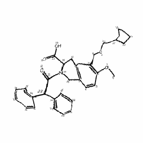 COc1ccc2c(c1COCC1CCC1)CC(C(=O)O)N(C(=O)C(c1ccccc1)c1ccccc1)C2